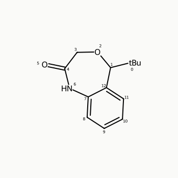 CC(C)(C)C1OCC(=O)Nc2ccccc21